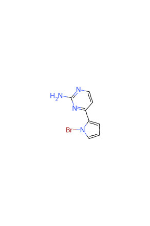 Nc1nccc(-c2cccn2Br)n1